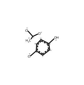 CC(Cl)Cl.Oc1ccc(Cl)cc1